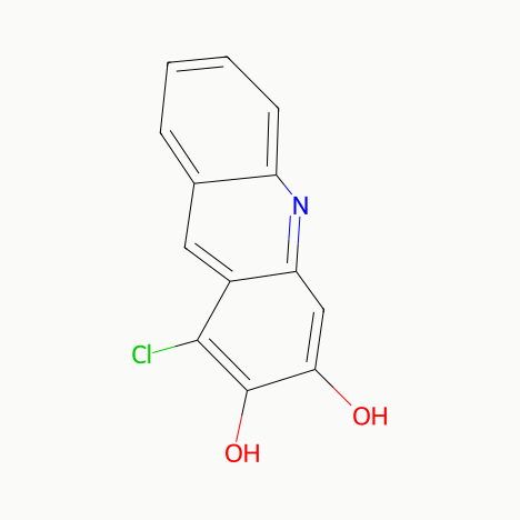 Oc1cc2nc3ccccc3cc2c(Cl)c1O